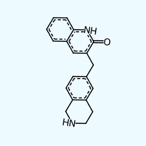 O=c1[nH]c2ccccc2cc1Cc1ccc2c(c1)CCNC2